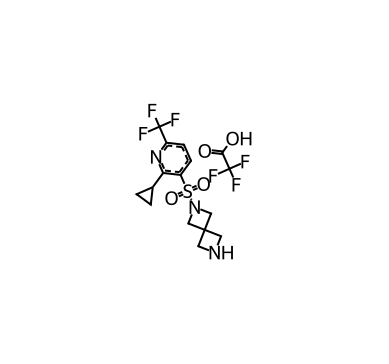 O=C(O)C(F)(F)F.O=S(=O)(c1ccc(C(F)(F)F)nc1C1CC1)N1CC2(CNC2)C1